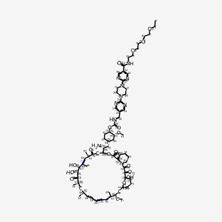 CCOCCOCCOCCNC(=O)c1cnc(N2CCN(c3ncc(CNC(=O)O[C@@H]4CC[C@@H](C[C@@H](N)[C@@H]5CC(=O)[C@H](C)/C=C(\C)[C@@H](O)[C@@H](O)C(=O)[C@H](C)C[C@H](C)/C=C/C=C/C=C(\C)[C@@H](OC)C[C@@H]6CC[C@@H](C)[C@@](O)(O6)C(=O)C(=O)N6CCCC[C@H]6C(=O)O5)C[C@H]4OC)cn3)CC2)nc1